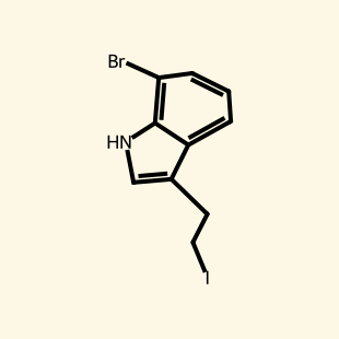 Brc1cccc2c(CCI)c[nH]c12